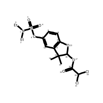 CCN(CC)S(=O)(=O)Oc1ccc2c(c1)C(C)(C)C(OC(=O)C(Cl)Cl)O2